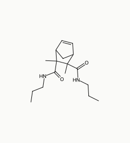 CCCNC(=O)C1(C)C2C=CC(C2)C1(C)C(=O)NCCC